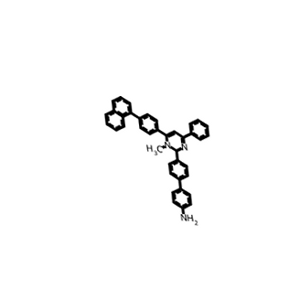 CN1C(c2ccc(-c3cccc4ccccc34)cc2)=CC(c2ccccc2)=NC1c1ccc(-c2ccc(N)cc2)cc1